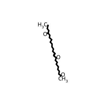 CCCCC(=O)CCCCCCCC/C=C/C(=O)CCCCCCCC(C)=O